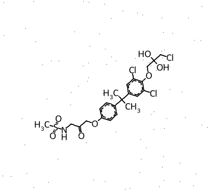 CC(C)(c1ccc(OCC(=O)CNS(C)(=O)=O)cc1)c1cc(Cl)c(OCC(O)(O)CCl)c(Cl)c1